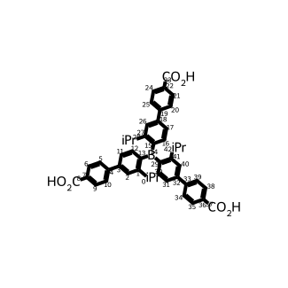 CC(C)c1cc(-c2ccc(C(=O)O)cc2)ccc1B(c1ccc(-c2ccc(C(=O)O)cc2)cc1C(C)C)c1ccc(-c2ccc(C(=O)O)cc2)cc1C(C)C